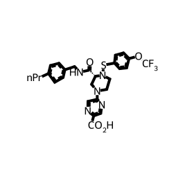 CCCc1ccc(CNC(=O)[C@H]2CN(c3cnc(C(=O)O)cn3)CCN2Sc2ccc(OC(F)(F)F)cc2)cc1